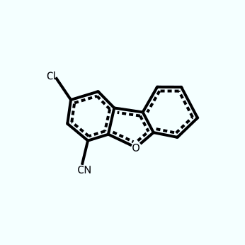 N#Cc1cc(Cl)cc2c1oc1ccccc12